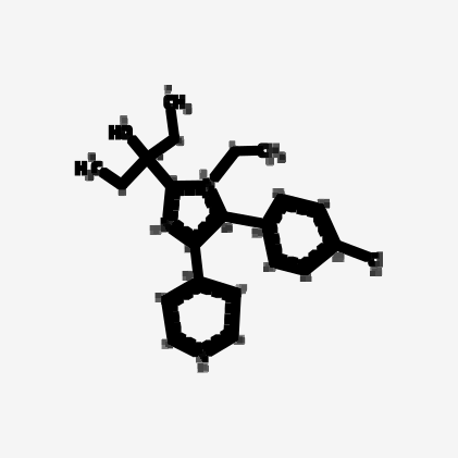 CCn1c(C(O)(CC)CC)nc(-c2ccncc2)c1-c1ccc(Cl)cc1